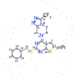 CCCc1cc2c(N3CCn4c(nnc4C(F)(F)F)C3)nc(SCc3ccccc3)nc2s1